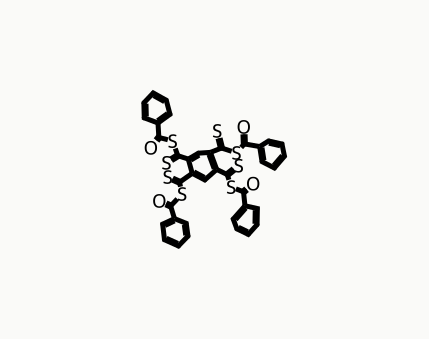 O=C(SC(=S)c1cc(C(=S)SC(=O)c2ccccc2)c(C(=S)SC(=O)c2ccccc2)cc1C(=S)SC(=O)c1ccccc1)c1ccccc1